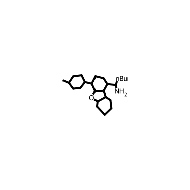 CCCCC(N)C1CCC(C2CCC(C)CC2)C2OC3CCCCC3C12